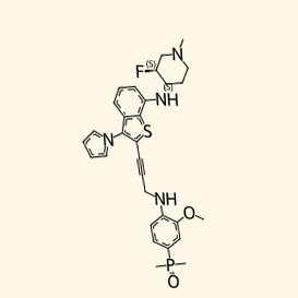 COc1cc(P(C)(C)=O)ccc1NCC#Cc1sc2c(N[C@H]3CCN(C)C[C@@H]3F)cccc2c1-n1cccc1